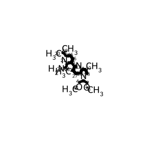 COCC(COC)n1cc(C)c2nc(-c3ccc(C(C)C)nc3CN)c(C)cc21